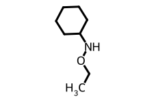 CCONC1CCCCC1